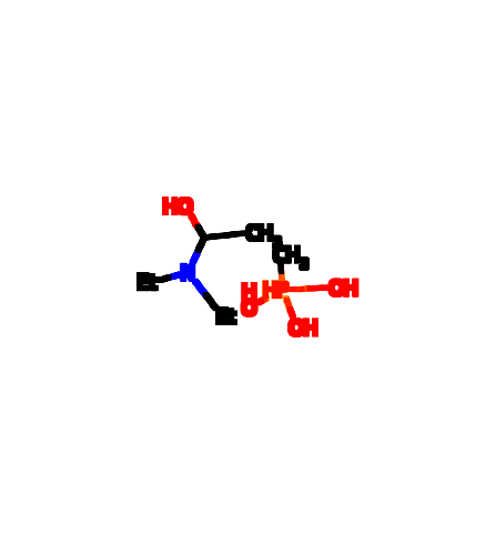 CCN(CC)C(C)O.C[PH](O)(O)O